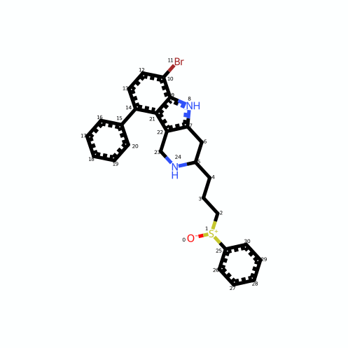 [O-][S+](CCCC1Cc2[nH]c3c(Br)ccc(-c4ccccc4)c3c2CN1)c1ccccc1